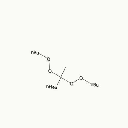 CCCCCCC(C)(OOCCCC)OOCCCC